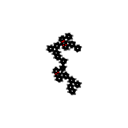 c1ccc(-c2ccc(N(c3ccc(-c4ccc(-c5ccccc5)c(-c5ccc6ccc(-c7cccc(-c8ccc(N(c9ccc(-c%10ccc(-c%11ccccc%11)c(-c%11ccc%12ccccc%12c%11)c%10)cc9)c9cccc%10ccccc9%10)c(-c9ccccc9)c8)c7)cc6c5)c4)cc3)c3ccccc3-c3ccccc3)c(-c3ccccc3)c2)cc1